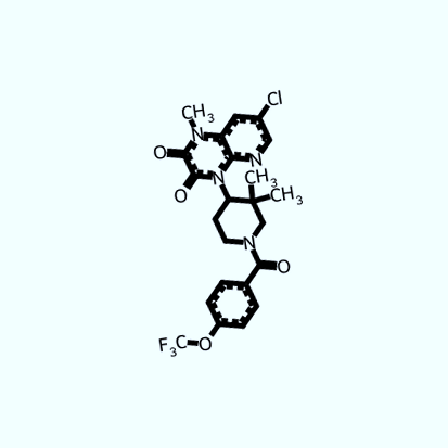 Cn1c(=O)c(=O)n(C2CCN(C(=O)c3ccc(OC(F)(F)F)cc3)CC2(C)C)c2ncc(Cl)cc21